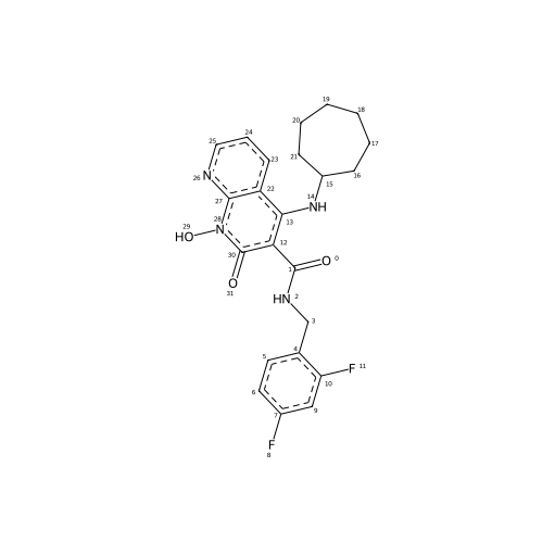 O=C(NCc1ccc(F)cc1F)c1c(NC2CCCCCC2)c2cccnc2n(O)c1=O